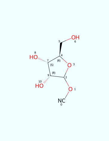 N#COC1O[C@H](CO)[C@@H](O)[C@H]1O